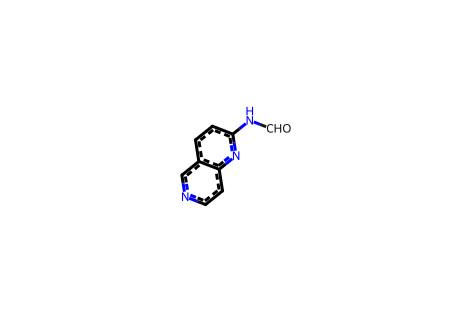 O=CNc1ccc2cnccc2n1